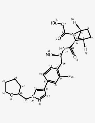 CC(C)(C)OC(=O)N1[C@@H]2CC[C@@H](C2)[C@H]1C(=O)N[C@H](C#N)Cc1ccc(-c2cnn(CC3CCCCO3)c2)cc1F